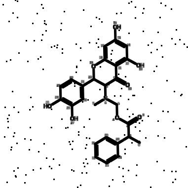 CC(C(=O)OCN(C)C1C(=O)c2c(O)cc(O)cc2OC1c1ccc(O)c(O)c1)c1ccccc1